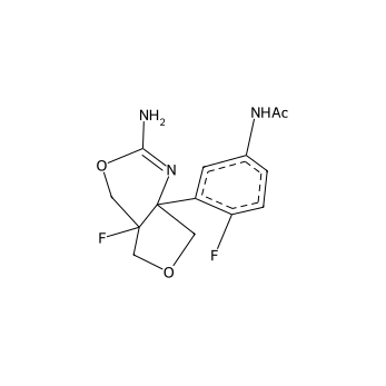 CC(=O)Nc1ccc(F)c(C23COCC2(F)COC(N)=N3)c1